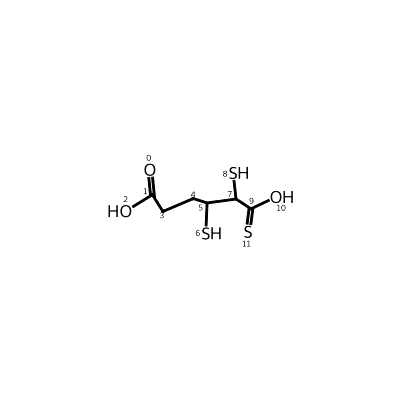 O=C(O)CCC(S)C(S)C(O)=S